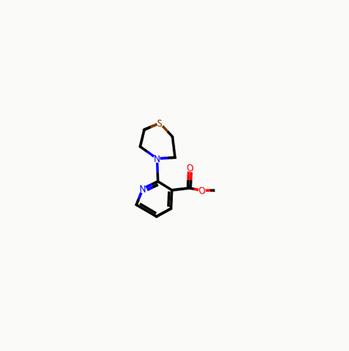 COC(=O)c1cccnc1N1CCSCC1